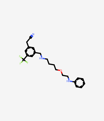 N#CCc1cc(CNCCCCOCCNc2ccccc2)cc(C(F)(F)F)c1